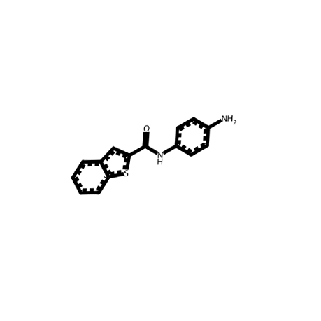 Nc1ccc(NC(=O)c2cc3ccccc3s2)cc1